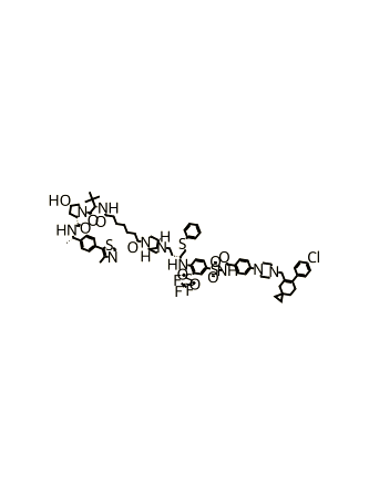 Cc1ncsc1-c1ccc([C@H](C)NC(=O)[C@@H]2C[C@@H](O)CN2C(=O)[C@@H](NC(=O)CCCCCC(=O)N2C[C@@H]3C[C@H]2CN3CC[C@H](CSc2ccccc2)Nc2ccc(S(=O)(=O)NC(=O)c3ccc(N4CCN(CC5=C(c6ccc(Cl)cc6)CCC6(CC6)C5)CC4)cc3)cc2S(=O)(=O)C(F)(F)F)C(C)(C)C)cc1